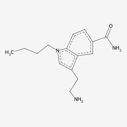 CCCCn1cc(CCN)c2cc(C(N)=O)ccc21